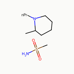 CCCN1CCCCC1C.CS(N)(=O)=O